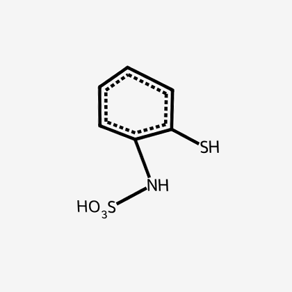 O=S(=O)(O)Nc1ccccc1S